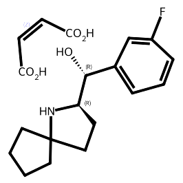 O=C(O)/C=C\C(=O)O.O[C@H](c1cccc(F)c1)[C@H]1CCC2(CCCC2)N1